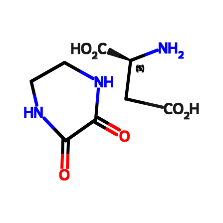 N[C@@H](CC(=O)O)C(=O)O.O=C1NCCNC1=O